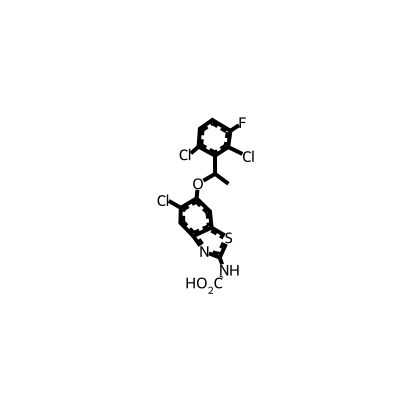 CC(Oc1cc2sc(NC(=O)O)nc2cc1Cl)c1c(Cl)ccc(F)c1Cl